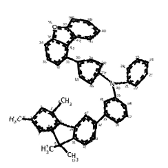 Cc1cc(C)c2c(c1)C(C)(C)c1ccc(-c3cccc(N(c4ccccc4)c4ccc(-c5cccc6oc7ccccc7c56)cc4)c3)cc1-2